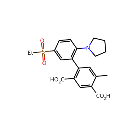 CCS(=O)(=O)c1ccc(N2CCCC2)c(-c2cc(C)c(C(=O)O)cc2C(=O)O)c1